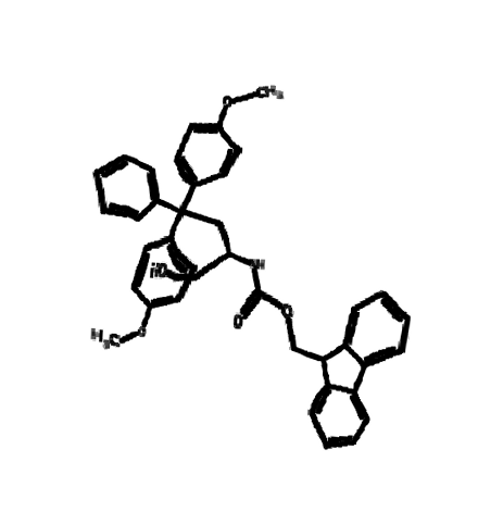 COc1ccc(C(CC(CO)NC(=O)OCC2c3ccccc3-c3ccccc32)(c2ccccc2)c2ccc(OC)cc2)cc1